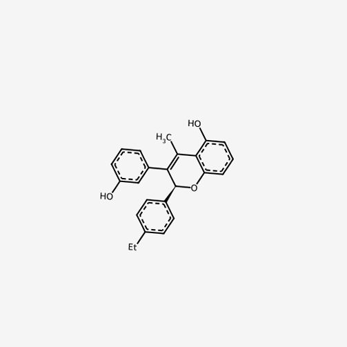 CCc1ccc([C@@H]2Oc3cccc(O)c3C(C)=C2c2cccc(O)c2)cc1